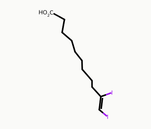 O=C(O)CCCCCCCCC(I)=CI